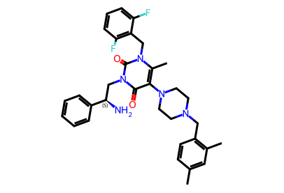 Cc1ccc(CN2CCN(c3c(C)n(Cc4c(F)cccc4F)c(=O)n(C[C@@H](N)c4ccccc4)c3=O)CC2)c(C)c1